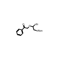 CCCCCCCCCCC(CCC)OCC(=O)c1ccccc1